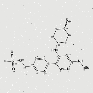 CCCCNc1ncc(-c2ccc(COS(C)(=O)=O)cn2)c(N[C@H]2CC[C@H](O)CC2)n1